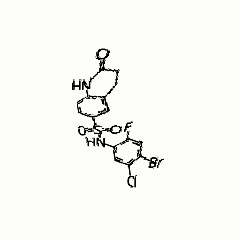 O=C1CCc2cc(S(=O)(=O)Nc3cc(Cl)c(Br)cc3F)ccc2N1